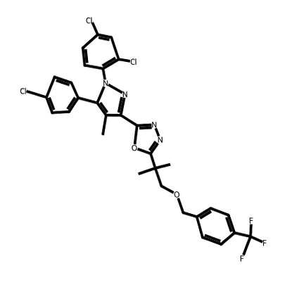 Cc1c(-c2nnc(C(C)(C)COCc3ccc(C(F)(F)F)cc3)o2)nn(-c2ccc(Cl)cc2Cl)c1-c1ccc(Cl)cc1